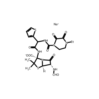 CCN1CCN(C(=O)NC(C(=O)N[C@@]2(C(=O)[O-])N3C(=O)[C@H](NC=O)[C@H]3SC2(C)C)c2cccs2)C(=O)C1=O.[Na+]